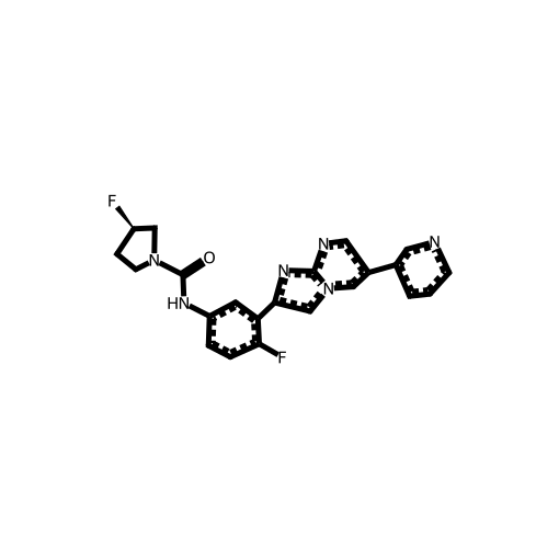 O=C(Nc1ccc(F)c(-c2cn3cc(-c4cccnc4)cnc3n2)c1)N1CC[C@@H](F)C1